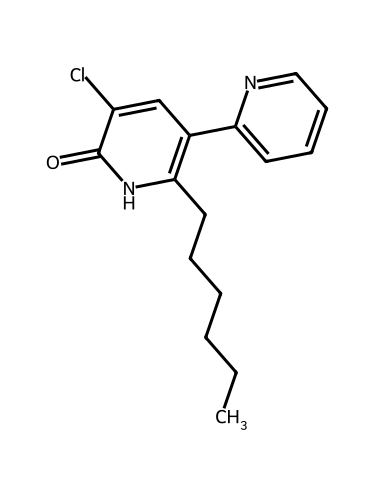 CCCCCCc1[nH]c(=O)c(Cl)cc1-c1ccccn1